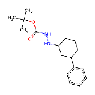 CC(C)(C)OC(=O)NNC1CCCC(c2ccccc2)C1